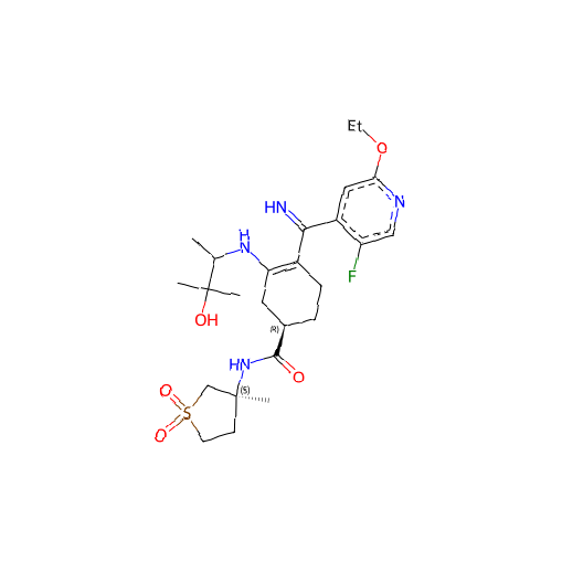 CCOc1cc(C(=N)C2=C(NC(C)C(C)(C)O)C[C@H](C(=O)N[C@@]3(C)CCS(=O)(=O)C3)CC2)c(F)cn1